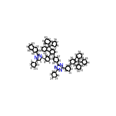 c1ccc(-c2cc(-c3cccc(-c4c(-c5ccc(-c6nc(-c7ccccc7)nc(-c7cccc(-c8ccc9c(c8)C(c8ccccc8)(c8ccccc8)c8ccccc8-9)c7)n6)cc5)ccc5c4-c4ccccc4C5(c4ccccc4)c4ccccc4)c3)nc(-c3ccc4ccccc4c3)n2)cc1